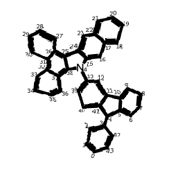 c1ccc(C2c3ccccc3-c3cc(-n4c5cc6ccccc6cc5c5c6ccccc6c6ccccc6c54)ccc32)cc1